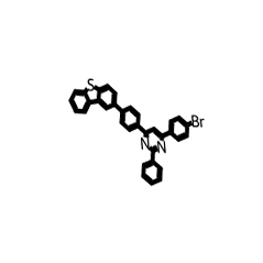 Brc1ccc(-c2cc(-c3ccc(-c4ccc5sc6ccccc6c5c4)cc3)nc(-c3ccccc3)n2)cc1